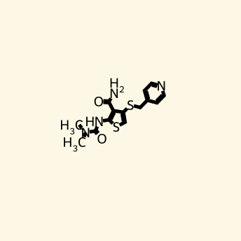 CN(C)C(=O)Nc1scc(SCc2ccncc2)c1C(N)=O